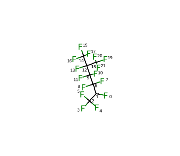 F[C](C(F)(F)F)C(F)(F)C(F)(F)C(F)(C(F)(F)F)C(F)(F)F